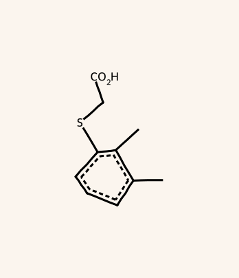 Cc1cccc(SCC(=O)O)c1C